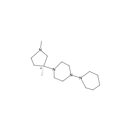 CN1CC[C@](C)(N2CCN(N3CCCCC3)CC2)C1